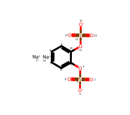 O=S(=O)([O-])Oc1ccccc1OS(=O)(=O)[O-].[Na+].[Na+]